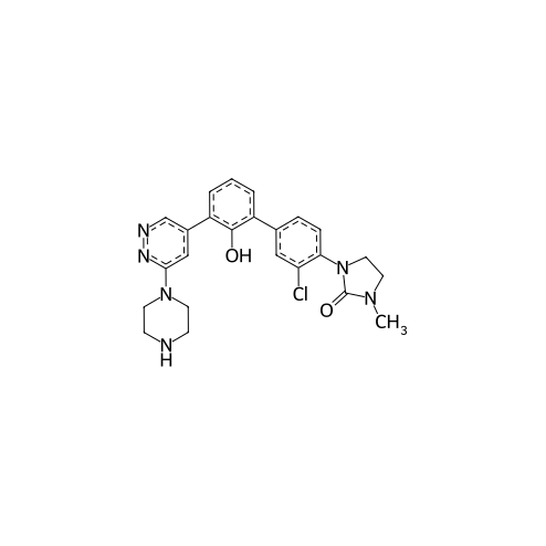 CN1CCN(c2ccc(-c3cccc(-c4cnnc(N5CCNCC5)c4)c3O)cc2Cl)C1=O